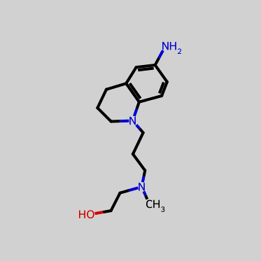 CN(CCO)CCCN1CCCc2cc(N)ccc21